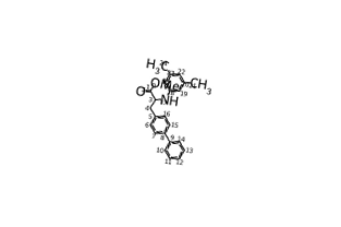 COC(=O)C(Cc1ccc(-c2ccccc2)cc1)Nc1cc(C)cc(C)c1